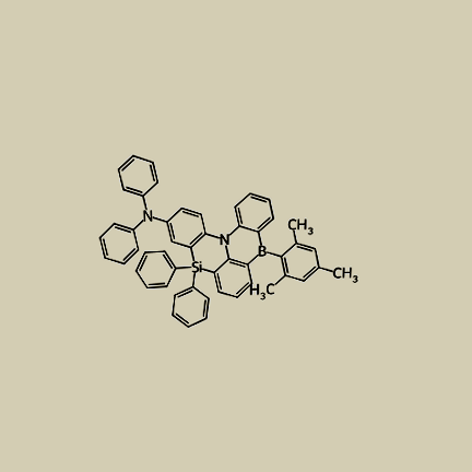 Cc1cc(C)c(B2c3ccccc3N3c4ccc(N(c5ccccc5)c5ccccc5)cc4[Si](c4ccccc4)(c4ccccc4)c4cccc2c43)c(C)c1